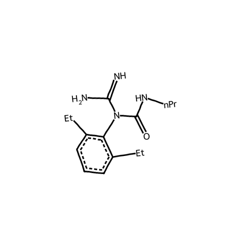 CCCNC(=O)N(C(=N)N)c1c(CC)cccc1CC